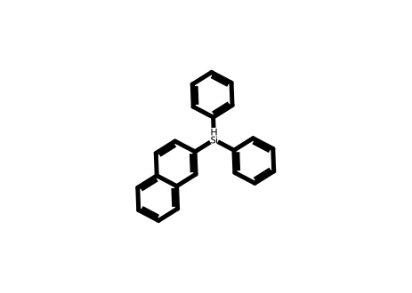 c1ccc([SiH](c2ccccc2)c2ccc3ccccc3c2)cc1